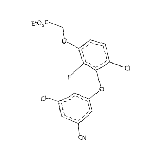 CCOC(=O)COc1ccc(Cl)c(Oc2cc(Cl)cc(C#N)c2)c1F